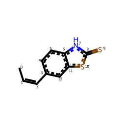 C/C=C\c1ccc2[nH]c(=S)sc2c1